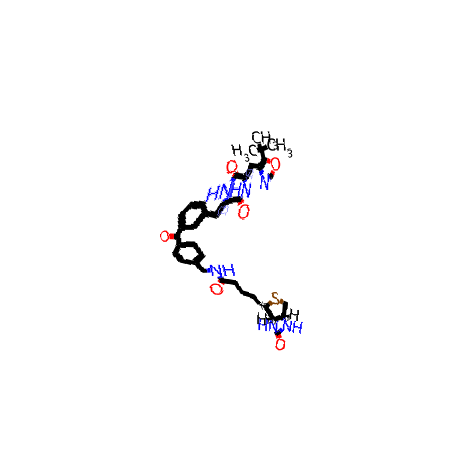 CC(C)(C)c1ocnc1/C=c1\[nH]c(=O)/c(=C/c2cccc(C(=O)c3ccc(CNC(=O)CCCC[C@@H]4SC[C@@H]5NC(=O)N[C@@H]54)cc3)c2)[nH]c1=O